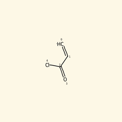 [CH]=CC(=O)Cl